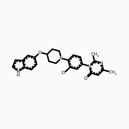 Cc1cc(=O)n(-c2ccc(N3CCC(Oc4ccc5[nH]ccc5c4)CC3)c(Cl)c2)c(C)n1